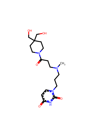 CN(CCCn1ccc(=O)[nH]c1=O)CCC(=O)N1CCC(CO)(CO)CC1